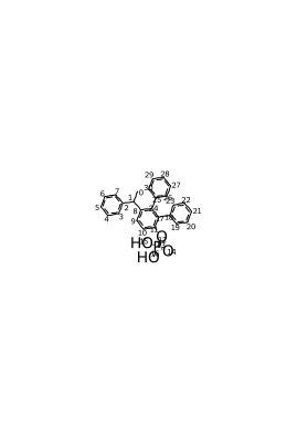 CC(c1ccccc1)c1ccc(OP(=O)(O)O)c(-c2ccccc2)c1-c1ccccc1